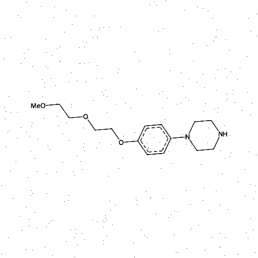 COCCOCCOc1ccc(N2CCNCC2)cc1